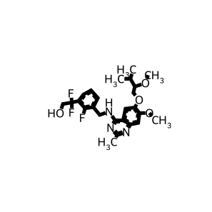 COc1cc2nc(C)nc(NCc3cccc(C(F)(F)CO)c3F)c2cc1OCC(OC)C(C)C